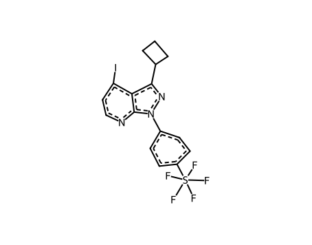 FS(F)(F)(F)(F)c1ccc(-n2nc(C3CCC3)c3c(I)ccnc32)cc1